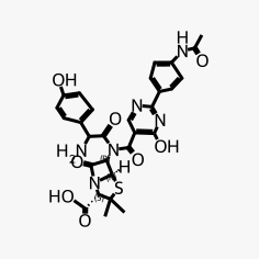 CC(=O)Nc1ccc(-c2ncc(C(=O)N(C(=O)C(N)c3ccc(O)cc3)[C@@H]3C(=O)N4[C@@H]3SC(C)(C)[C@@H]4C(=O)O)c(O)n2)cc1